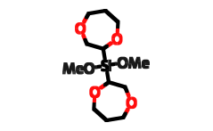 CO[Si](OC)(C1COCCCO1)C1COCCCO1